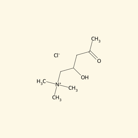 CC(=O)CC(O)C[N+](C)(C)C.[Cl-]